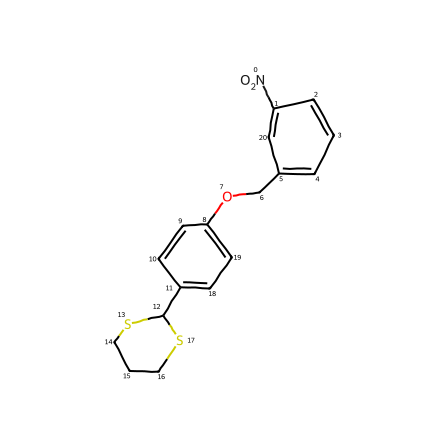 O=[N+]([O-])c1cccc(COc2ccc(C3SCCCS3)cc2)c1